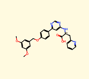 COc1cc(COc2ccc(-c3cc(N[C@@H](Cc4ccccn4)C(=O)O)ncn3)cc2)cc(OC)c1